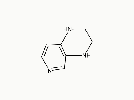 [CH]1CNc2cnccc2N1